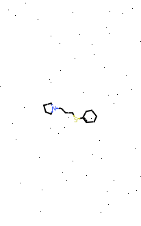 C1=C(SCCCN2CCCC2)CCCC1